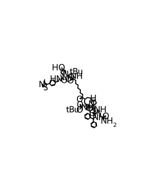 Cc1ncsc1-c1ccc(CNC(=O)[C@@H]2C[C@@H](O)CN2C(=O)[C@@H](NC(=O)CCCCCCCC(=O)C2CC[C@H]3CC[C@@H](C(=O)N[C@@H](CCC(N)=O)C(=O)NC(c4ccccc4)c4ccccc4)N3C(=O)[C@@H](NC(=O)OC(C)(C)C)C2)C(C)(C)C)cc1